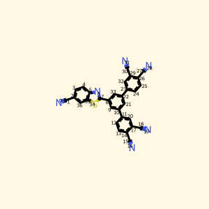 N#Cc1ccc2nc(-c3cc(-c4ccc(C#N)c(C#N)c4)cc(-c4ccc(C#N)c(C#N)c4)c3)sc2c1